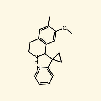 COc1cc2c(cc1C)CCNC2C1(c2ccccn2)CC1